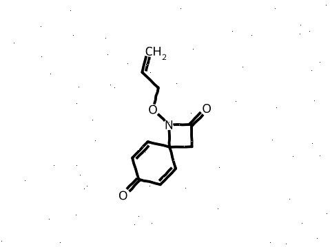 C=CCON1C(=O)CC12C=CC(=O)C=C2